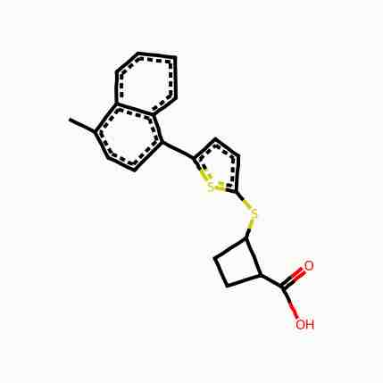 Cc1ccc(-c2ccc(SC3CCC3C(=O)O)s2)c2ccccc12